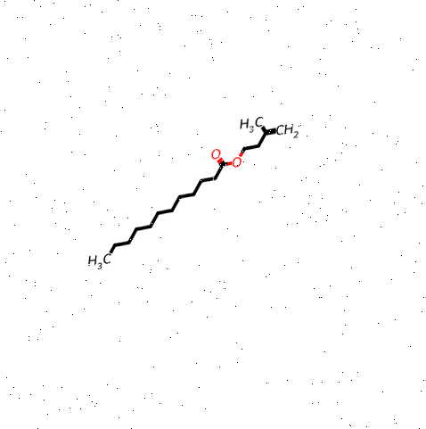 C=C(C)CCOC(=O)CCCCCCCCCCC